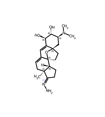 CN(C)[C@H]1C[C@@]23CC[C@@]4(O2)C(=CC[C@]2(C)/C(=N/N)CC[C@@H]42)C=C3[C@@H](O)[C@@H]1O